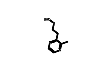 Cc1nccnc1CCOC=O